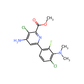 COC(=O)c1nc(-c2ccc(Cl)c(N(C)C)c2F)cc(N)c1Cl